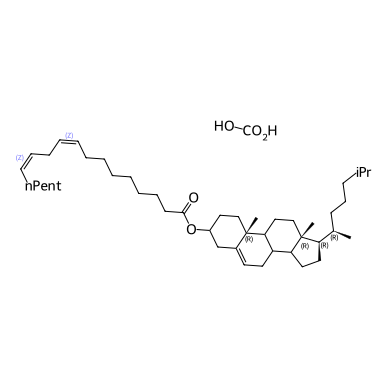 CCCCC/C=C\C/C=C\CCCCCCCC(=O)OC1CC[C@@]2(C)C(=CCC3C2CC[C@@]2(C)C3CC[C@@H]2[C@H](C)CCCC(C)C)C1.O=C(O)O